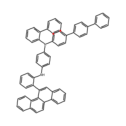 c1ccc(-c2ccc(-c3ccc(N(c4ccc(Nc5ccccc5-c5cc6ccccc6c6ccc7ccccc7c56)cc4)c4ccccc4-c4ccccc4)cc3)cc2)cc1